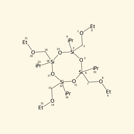 CCOC[Si]1(C(C)C)O[Si](COCC)(C(C)C)O[Si](COCC)(C(C)C)O[Si](COCC)(C(C)C)O1